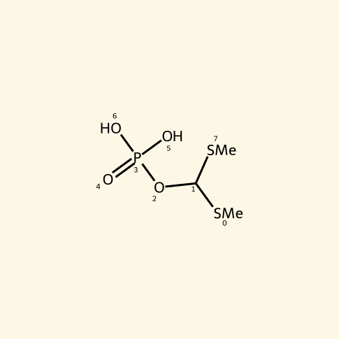 CSC(OP(=O)(O)O)SC